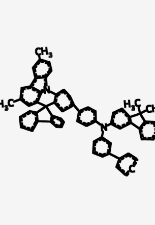 Cc1ccc2c(c1)c1cc(C)cc3c1n2-c1ccc(-c2ccc(N(c4cccc(-c5ccccc5)c4)c4ccc5c(c4)-c4ccccc4C5(C)C)cc2)cc1C31c2ccccc2-c2ccccc21